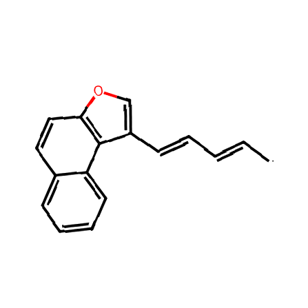 [CH2]C=CC=Cc1coc2ccc3ccccc3c12